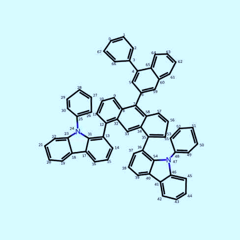 c1ccc(-c2cc(-c3c4cccc(-c5cccc6c7ccccc7n(-c7ccccc7)c56)c4cc4c(-c5cccc6c7ccccc7n(-c7ccccc7)c56)cccc34)cc3ccccc23)cc1